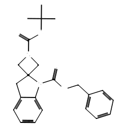 CC(C)(C)OC(=O)N1CC2(Cc3ccccc3N2C(=O)OCc2ccccc2)C1